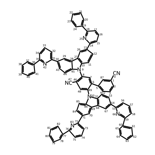 N#Cc1cccc(-c2cc(-n3c4ccc(-c5cccc(-c6ccccc6)n5)cc4c4cc(-c5cccc(-c6ccccc6)n5)ccc43)c(C#N)cc2-n2c3ccc(-c4cccc(-c5ccccc5)n4)cc3c3cc(-c4cccc(-c5ccccc5)n4)ccc32)c1